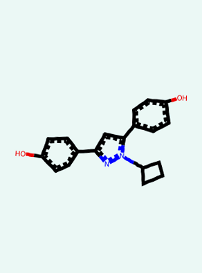 Oc1ccc(-c2[c]c(-c3ccc(O)cc3)n(C3CCC3)n2)cc1